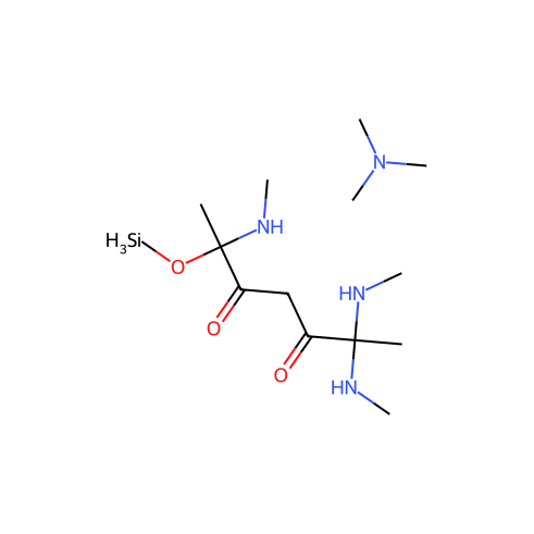 CN(C)C.CNC(C)(NC)C(=O)CC(=O)C(C)(NC)O[SiH3]